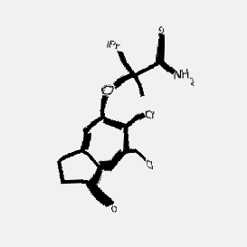 CC(C)C(C)(Oc1cc2c(c(Cl)c1Cl)C(=O)CC2)C(N)=O